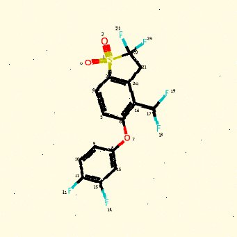 O=S1(=O)c2ccc(Oc3ccc(F)c(F)c3)c(C(F)F)c2CC1(F)F